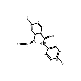 [N-]=[N+]=Nc1cc(Br)ccc1C(=O)Nc1ccc(F)cc1